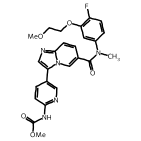 COCCOc1cc(N(C)C(=O)c2ccc3ncc(-c4ccc(NC(=O)OC)nc4)n3c2)ccc1F